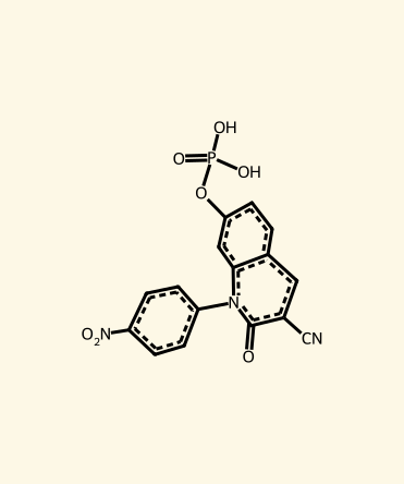 N#Cc1cc2ccc(OP(=O)(O)O)cc2n(-c2ccc([N+](=O)[O-])cc2)c1=O